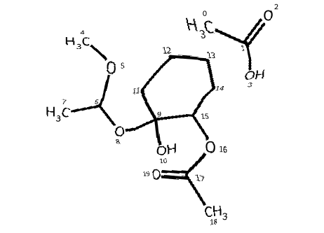 CC(=O)O.COC(C)OC1(O)CCCCC1OC(C)=O